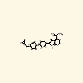 NC(=O)c1ccnc2[nH]c(-c3ccc(-c4ccc(CC5CC5)cc4)cc3)nc12